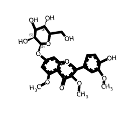 COc1cc(-c2oc3cc(O[C@@H]4OC(CO)[C@@H](O)C(O)[C@@H]4O)cc(OC)c3c(=O)c2OC)ccc1O